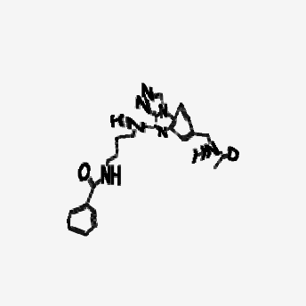 CC(=O)NCc1ccc2c(c1)nc(NCCCCNC(=O)c1ccccc1)c1nncn12